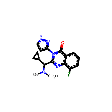 CC(C)(C)N(C(=O)O)C(c1nc2c(F)cccc2c(=O)n1-c1cc[nH]n1)C1CC1